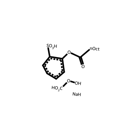 CCCCCCCCC(=O)Oc1ccccc1S(=O)(=O)O.O=C(O)OO.[NaH]